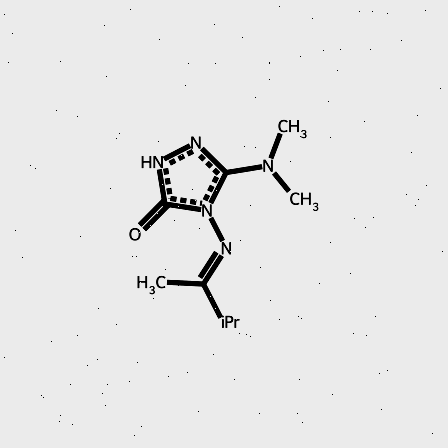 CC(=Nn1c(N(C)C)n[nH]c1=O)C(C)C